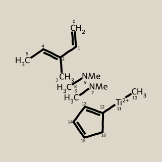 C=CC(C)=CC.C[N-]C.C[N-]C.[CH3][Ti+2][C]1=CC=CC1